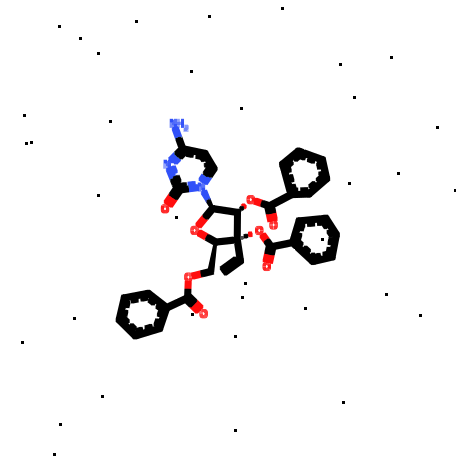 C=C[C@@]1(OC(=O)c2ccccc2)[C@@H](COC(=O)c2ccccc2)O[C@@H](n2ccc(N)nc2=O)[C@@H]1OC(=O)c1ccccc1